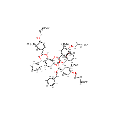 CCCCCCCCCCCCOc1ccc(C(OCc2ccccc2)Oc2cc(C(=O)O)cc(OC(OCc3ccccc3)c3ccc(OCCCCCCCCCCCC)c(OC)c3)c2OC(OCc2ccccc2)c2ccc(OCCCCCCCCCCCC)c(OC)c2)cc1OC